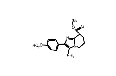 CC(C)(C)OC(=O)C1CCCn2c1nc(-c1ccc(C(=O)O)cc1)c2N